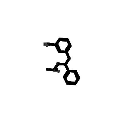 C[SiH2]OC(Cc1cccc(N)c1)c1ccccc1